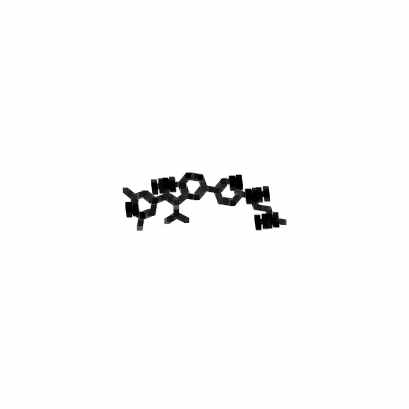 CNCCNc1ccc(-c2ccc3[nH]c(-c4cc(C)nc(C)c4)c(C(C)C)c3c2)cn1